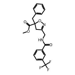 COC(=O)C1(Cc2ccccc2)CC(CNC(=O)c2cccc(C(F)(F)F)c2)=NO1